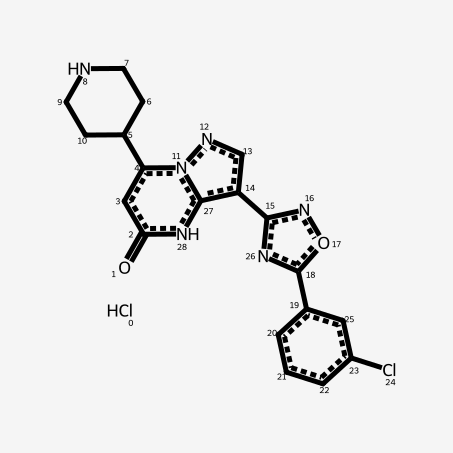 Cl.O=c1cc(C2CCNCC2)n2ncc(-c3noc(-c4cccc(Cl)c4)n3)c2[nH]1